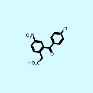 O=C(O)Cc1ccc([N+](=O)[O-])cc1C(=O)c1ccc(Cl)cc1